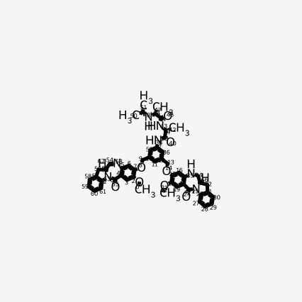 COc1cc2c(cc1OCc1cc(COc3cc4c(cc3OC)C(=O)N3c5ccccc5C[C@H]3CN4)cc(NC(=O)[C@H](C)NC(=O)[C@H](C)NC(C)C)c1)N=C[C@@H]1Cc3ccccc3N1C2=O